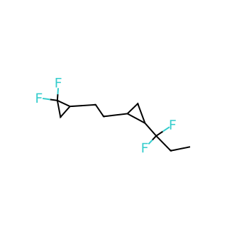 CCC(F)(F)C1CC1CCC1CC1(F)F